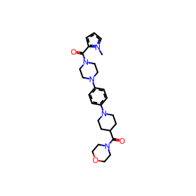 Cn1cccc1C(=O)N1CCN(c2ccc(N3CCC(C(=O)N4CCOCC4)CC3)cc2)CC1